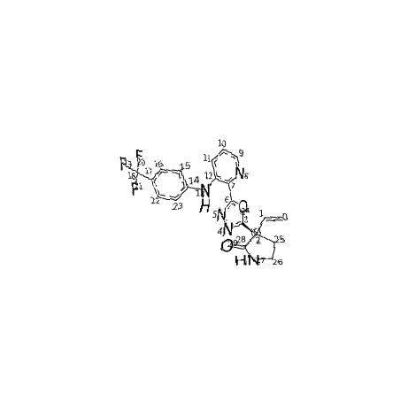 C=C[C@]1(c2nnc(-c3ncccc3Nc3ccc(C(F)(F)F)cc3)o2)CCNC1=O